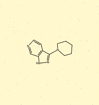 c1cc2c(N3CCCCC3)n[nH]c2cn1